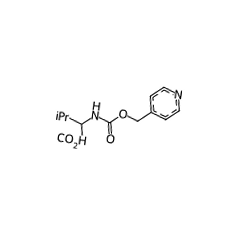 CC(C)C(NC(=O)OCc1ccncc1)C(=O)O